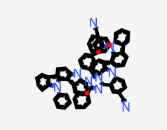 N#Cc1cccc(-c2ccc(-n3c4ccccc4c4c3ccc3c5ccccc5n(-c5ccccc5)c34)c(-c3nc(-c4ccccc4)nc(-c4cc(C#N)ccc4-n4c5ccccc5c5c4ccc4c6ccccc6n(-c6ccccc6)c45)n3)c2)c1